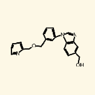 OCc1ccc2c(c1)ncn2-c1cccc(COCc2ccccn2)c1